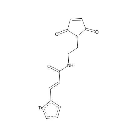 O=C(C=Cc1ccc[te]1)NCCN1C(=O)C=CC1=O